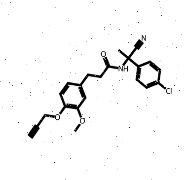 C#CCOc1ccc(CCC(=O)NC(C)(C#N)c2ccc(Cl)cc2)cc1OC